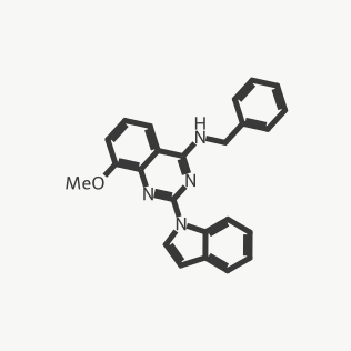 COc1cccc2c(NCc3ccccc3)nc(-n3ccc4ccccc43)nc12